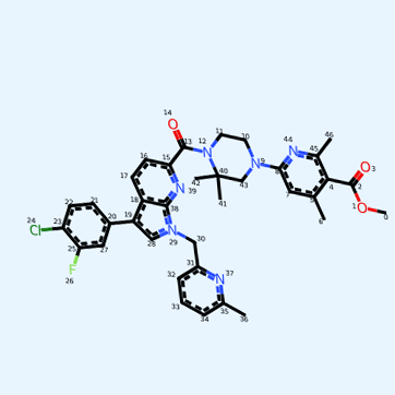 COC(=O)c1c(C)cc(N2CCN(C(=O)c3ccc4c(-c5ccc(Cl)c(F)c5)cn(Cc5cccc(C)n5)c4n3)C(C)(C)C2)nc1C